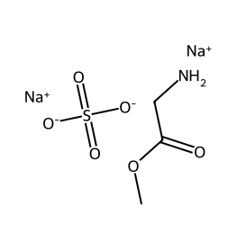 COC(=O)CN.O=S(=O)([O-])[O-].[Na+].[Na+]